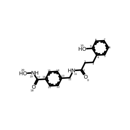 O=C(CCc1ccccc1O)NCc1ccc(C(=O)NO)cc1